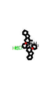 Cc1[c]([Zr]([SiH3])([c]2ccccc2)([c]2ccccc2)[c]2ccc3c(c2C)Cc2ccccc2-3)ccc2c1Cc1ccccc1-2.Cl.Cl